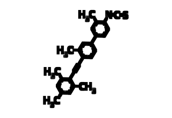 Cc1cc(C)c(C#Cc2ccc(-c3ccc(N=C=S)c(C)c3)cc2C)c(C)c1